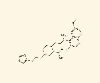 COc1ccc2ncc(F)c(C(N)CCC3CCN(CCSc4cccs4)CC3C(=O)O)c2c1